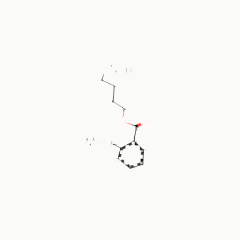 CCCCCCCCCCCCCOC(=O)c1ccccc1OC